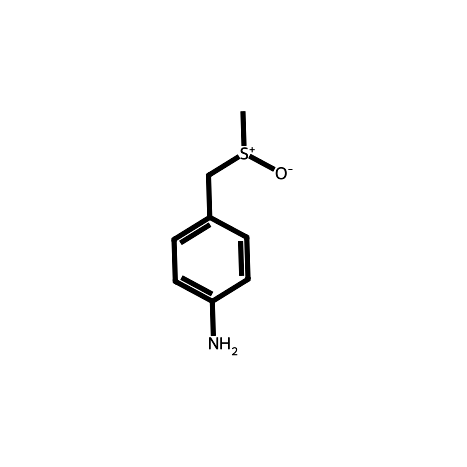 C[S+]([O-])Cc1ccc(N)cc1